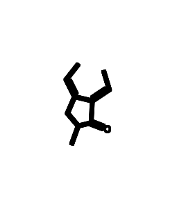 C/C=C1/CC(C)C(=O)/C1=C/C